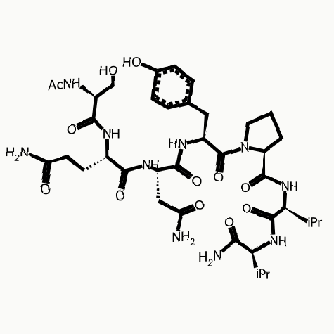 CC(=O)N[C@@H](CO)C(=O)N[C@@H](CCC(N)=O)C(=O)N[C@@H](CC(N)=O)C(=O)N[C@@H](Cc1ccc(O)cc1)C(=O)N1CCC[C@H]1C(=O)N[C@H](C(=O)N[C@H](C(N)=O)C(C)C)C(C)C